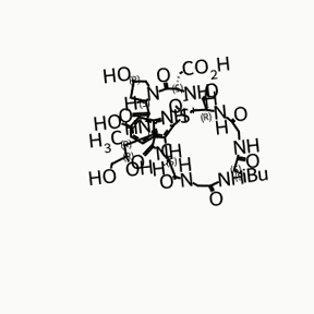 CC[C@H](C)[C@@H]1NC(=O)CNC(=O)[C@@H]2Cc3c([nH]c4cc(O)ccc34)[S+]([O-])C[C@H](NC(=O)CNC1=O)C(=O)N[C@@H](CC(=O)O)C(=O)N1C[C@H](O)C[C@H]1C(=O)N[C@@H]([C@@H](C)[C@@H](O)CO)C(=O)N2